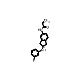 C=CC(=O)Nc1ccc2c(c1)C[C@H](Nc1cccc(F)c1)C2